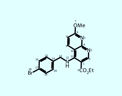 CCOC(=O)c1cnc2nc(OC)ccc2c1NCc1ccc(Br)cc1